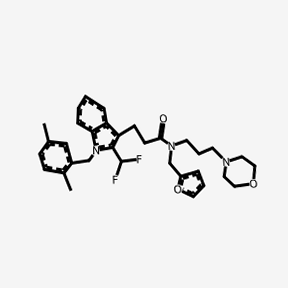 Cc1ccc(C)c(Cn2c(C(F)F)c(CCC(=O)N(CCCN3CCOCC3)Cc3ccco3)c3ccccc32)c1